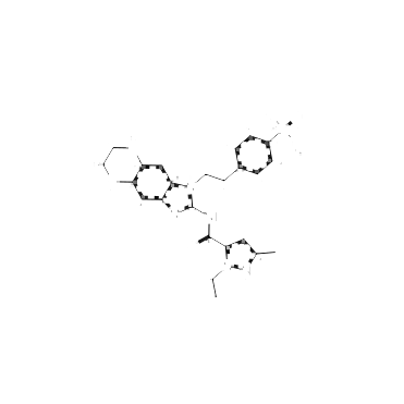 CCn1nc(C)cc1C(=O)Nc1nc2cc3c(cc2n1CCc1ccc(P(=O)(O)O)cc1)OCCO3